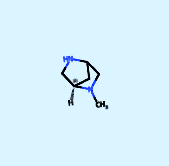 CN1CC2C[C@@H]1CN2